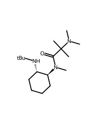 CN(C(=O)C(C)(C)N(C)C)[C@H]1CCCC[C@@H]1NC(C)(C)C